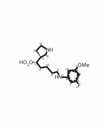 COc1cc(F)cc(NCCCC[C@H](C(=O)O)[C@H]2CCNC2)c1